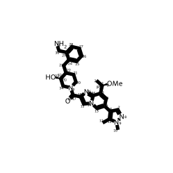 CO[C@H](C)c1cc(-c2cnn(C)c2C)cn2cc(C(=O)N3CCC(Cc4ccccc4CN)[C@H](O)C3)nc12